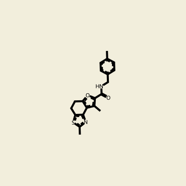 Cc1ccc(CNC(=O)c2oc3c(c2C)-c2nc(C)sc2CC3)cc1